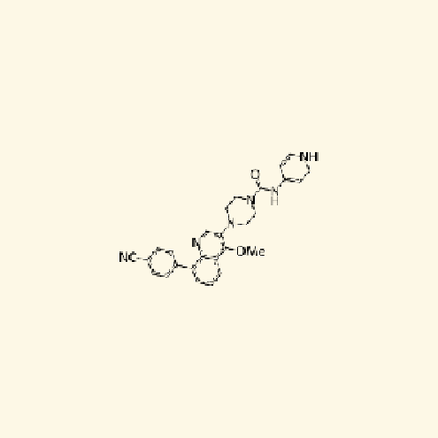 COc1c(N2CCN(C(=O)NC3=CCNC=C3)CC2)cnc2c(-c3ccc(C#N)cc3)cccc12